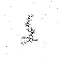 COc1cc(-n2cnc3cc(-c4cnn(C5CN(CC#N)C5)c4)ccc32)cc(OC)c1C(=O)NCC(F)(F)F